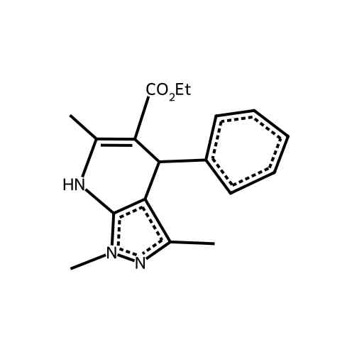 CCOC(=O)C1=C(C)Nc2c(c(C)nn2C)C1c1ccccc1